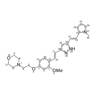 COc1cc(OCCN2CCOCC2)ccc1C=Cc1cc(/C=C/c2cccn2C)[nH]n1